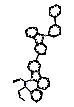 C=C/C(=C(\C=C/C)c1ccccc1)n1c2ccccc2c2cc(-c3ccc4c(c3)c3ccccc3n4-c3cccc(-c4ccccc4)c3)ccc21